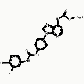 CCCCCOC(=O)Nc1ncnc2c1ncn2-c1ccc(NC(=O)Nc2ccc(Cl)c(C(F)(F)F)c2)cc1